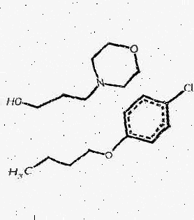 CCCCOc1ccc(Cl)cc1.OCCCN1CCOCC1